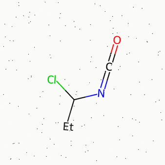 CCC(Cl)N=C=O